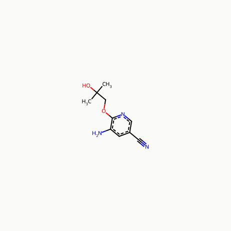 CC(C)(O)COc1ncc(C#N)cc1N